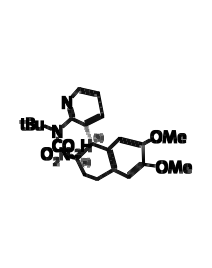 COc1cc2c(cc1OC)[C@@H](c1cccnc1N(C(=O)O)C(C)(C)C)[C@H]([N+](=O)[O-])CC2